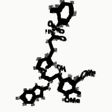 COc1cc([C@@H](O)[C@H](CC2Cc3ccccc3C2)Cn2ccc(CCC(=O)NS(=O)(=O)c3ccccc3C)c2)cc(OC)c1C